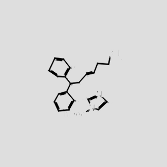 BCCC=CCC(c1ccccc1)c1ccccc1.CCCCCCCCCCn1ccnc1